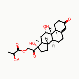 CC(O)C(=O)OCC(=O)[C@@]1(O)CC[C@H]2[C@@H]3CCC4=CC(=O)CC[C@]4(C)[C@H]3[C@@H](O)C[C@@]21C